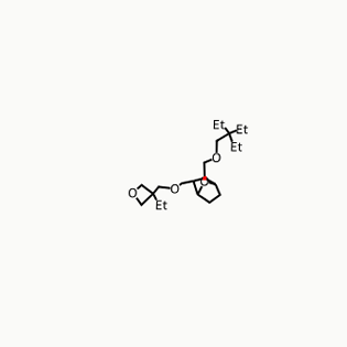 CCC(CC)(CC)COCC1C2CCC(O2)C1COCC1(CC)COC1